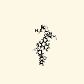 CN(C)CCCS(=O)(=O)N(C)c1ccc(-c2cnc3[nH]c4ccc(OS(=O)(=O)c5cccs5)cc4c3c2-c2ccccc2)cc1